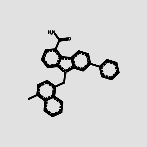 Cc1ccc(Cn2c3cc(-c4ccccc4)c[c]c3c3c(C(N)=O)cccc32)c2ccccc12